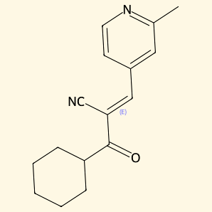 Cc1cc(/C=C(\C#N)C(=O)C2CCCCC2)ccn1